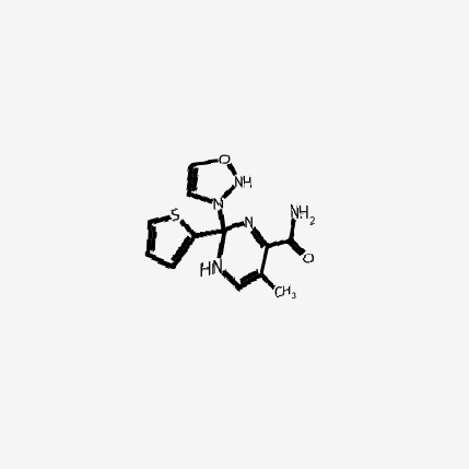 CC1=CNC(c2cccs2)(N2C=CON2)N=C1C(N)=O